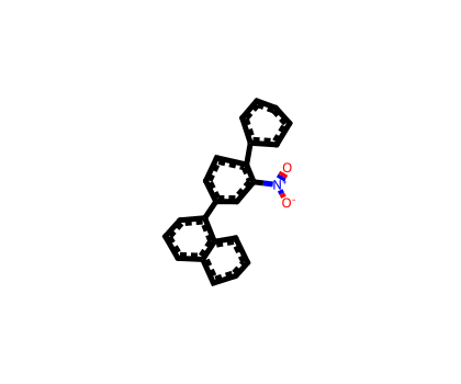 O=[N+]([O-])c1cc(-c2cccc3ccccc23)ccc1-c1ccccc1